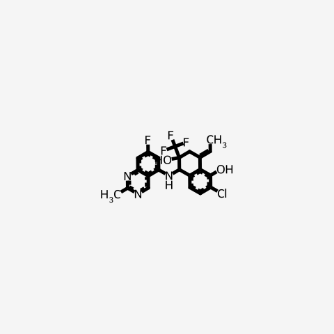 CC=C1CC(O)(C(F)(F)F)C(Nc2cc(F)cc3nc(C)ncc23)c2ccc(Cl)c(O)c21